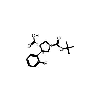 CC(C)(C)OC(=O)N1C[C@@H](C(=O)O)[C@H](c2ccccc2F)C1